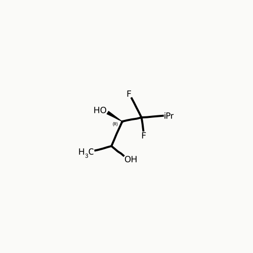 CC(O)[C@@H](O)C(F)(F)C(C)C